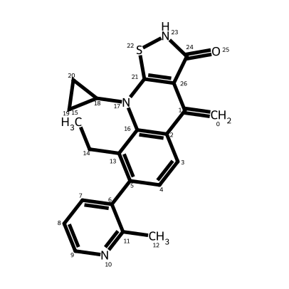 C=C1c2ccc(-c3cccnc3C)c(CC)c2N(C2CC2)c2s[nH]c(=O)c21